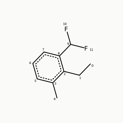 CCc1c(C)cccc1C(F)F